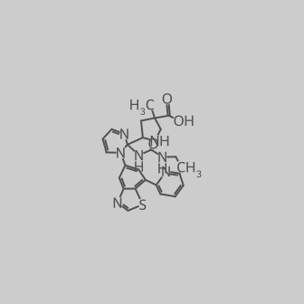 CCNC(=O)NC1(C2CC(C)(C(=O)O)CN2)N=CC=CN1c1cc(-c2ccccn2)c2scnc2c1